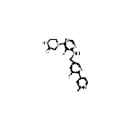 Cc1cc(-c2ncc(CNc3ncnc(N4CCNC(=O)C4)c3F)cc2F)ccn1